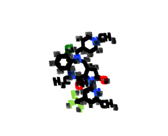 Cc1cc(C(F)(F)F)cc(N2C(=O)CC3CN(CC4CCN(C)CC4)c4c(Cl)cccc4N(C)C(=O)[C@H]32)n1